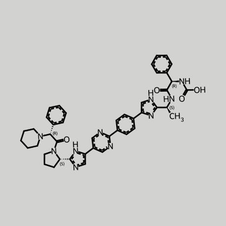 C[C@H](NC(=O)[C@H](NC(=O)O)c1ccccc1)c1nc(-c2ccc(-c3ncc(-c4cnc([C@@H]5CCCN5C(=O)[C@@H](c5ccccc5)N5CCCCC5)[nH]4)cn3)cc2)c[nH]1